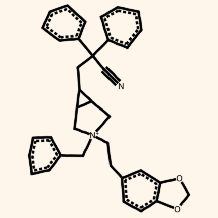 N#CC(CC1C2C[N+](CCc3ccc4c(c3)OCO4)(Cc3ccccc3)CC12)(c1ccccc1)c1ccccc1